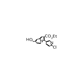 CCOC(=O)c1cc2cc(CO)ccn2c1-c1ccc(Cl)nc1